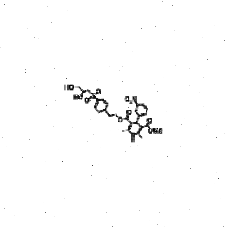 COC(=O)C1=C(C)NC(C)=C(C(=O)OCCc2ccc(S(=O)(=O)CC(O)CO)cc2)C1c1cccc([N+](=O)[O-])c1